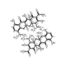 CN(C)[C@@H]1C(O)=C(C(N)=O)C(=O)[C@@]2(O)C(O)=C3C(=O)c4c(O)ccc(Cl)c4[C@@H](O)[C@H]3C[C@@H]12.CN(C)c1ccc(O)c2c1C[C@H]1C[C@H]3[C@H](N(C)C)C(O)=C(C(N)=O)C(=O)[C@@]3(O)C(O)=C1C2=O